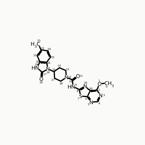 COc1ncnc2sc(NC(=O)N3CCC(n4c(=O)[nH]c5cc(C)ccc54)CC3)nc12